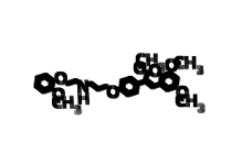 COC(=O)C(=Cc1cc(OC)cc(OC)c1)c1ccc(OCCCNCCOc2ccccc2OC)cc1